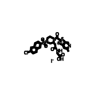 Cc1cc2c(cn1)SC(C(=O)N1CCN(S(=O)(=O)c3ccc4cc(Cl)ccc4c3)CC1CC(=O)NCC(=O)O)=[N+]2.[I-]